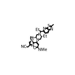 CCC(c1ccc2nc(C)sc2n1)N1C[C@H](CC)N(/C(=C/C(=O)NC)c2nc(CC#N)c[nH]2)C[C@H]1CC